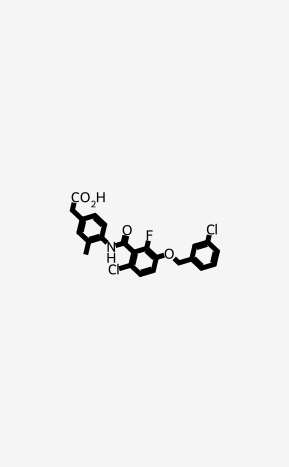 Cc1cc(CC(=O)O)ccc1NC(=O)c1c(Cl)ccc(OCc2cccc(Cl)c2)c1F